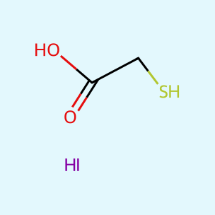 I.O=C(O)CS